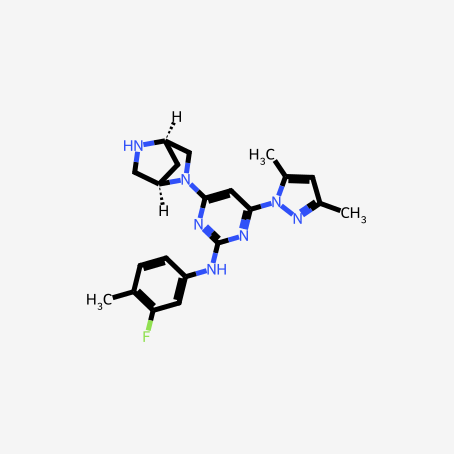 Cc1cc(C)n(-c2cc(N3C[C@H]4C[C@@H]3CN4)nc(Nc3ccc(C)c(F)c3)n2)n1